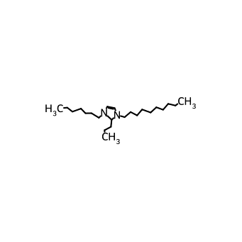 CCCCCCCCCCN1C=CN(CCCCCCC)C1CCC